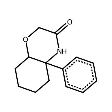 O=C1COC2CCCCC2(c2ccccc2)N1